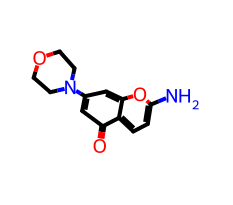 Nc1ccc2c(=O)cc(N3CCOCC3)cc-2o1